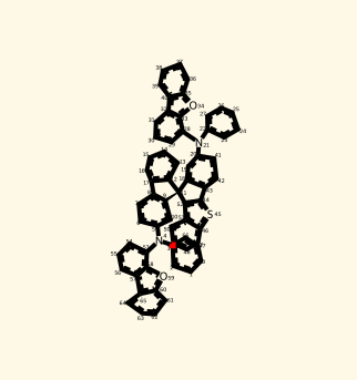 c1ccc(N(c2ccc3c(c2)[C@@]2(c4ccccc4-3)c3cc(N(c4ccccc4)c4cccc5c4oc4ccccc45)ccc3-c3sc4ccccc4c32)c2cccc3c2oc2ccccc23)cc1